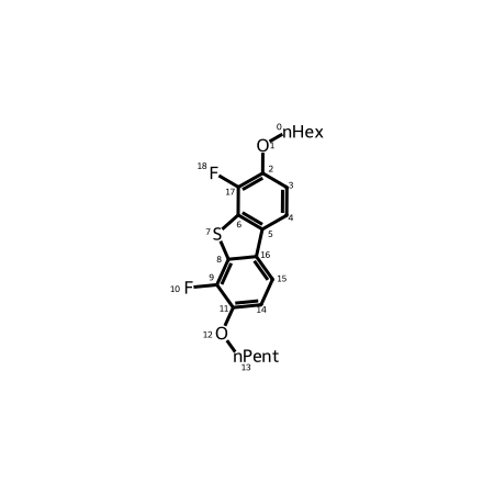 CCCCCCOc1ccc2c(sc3c(F)c(OCCCCC)ccc32)c1F